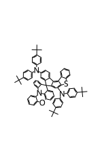 CC(C)(C)c1ccc(N(c2ccc(C(C)(C)C)cc2)c2ccc3c(c2)C2(c4ccccc4N4c5ccccc5Oc5cccc2c54)c2cc(N(c4ccc(C(C)(C)C)cc4)c4ccc(C(C)(C)C)cc4)c4sc5ccccc5c4c2-3)cc1